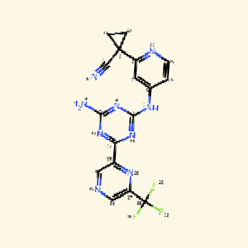 N#CC1(c2cc(Nc3nc(N)nc(-c4cncc(C(F)(F)F)n4)n3)ccn2)CC1